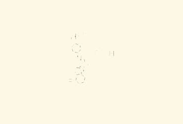 CCCOc1ccc(N(Cc2nc3ccc(F)c(F)c3s2)C(=O)CCC(=O)O)cc1